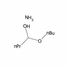 CCCCOC(O)CCC.N